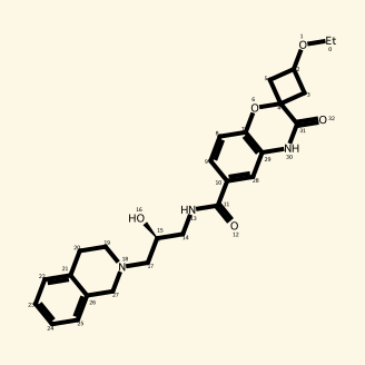 CCOC1CC2(C1)Oc1ccc(C(=O)NC[C@H](O)CN3CCc4ccccc4C3)cc1NC2=O